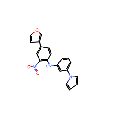 O=[N+]([O-])c1cc(-c2ccoc2)ccc1Nc1cccc(-n2cccc2)c1